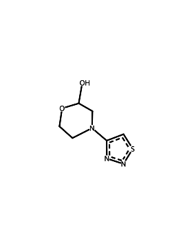 OC1CN(c2csnn2)CCO1